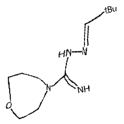 CC(C)(C)/C=N/NC(=N)N1CCOCC1